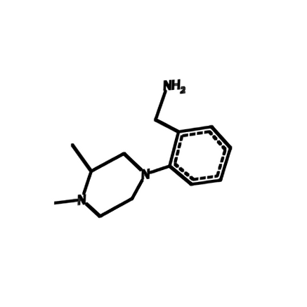 CC1CN(c2ccccc2CN)CCN1C